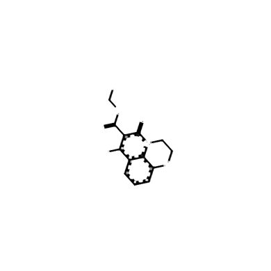 CCOC(=O)c1c(O)c2cccc3c2n(c1=O)CCO3